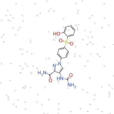 NC(=O)Nc1cn(-c2ccc(S(=O)(=O)c3ccccc3O)cc2)nc1C(N)=O